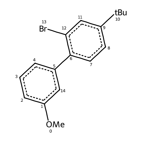 COc1cccc(-c2ccc(C(C)(C)C)cc2Br)c1